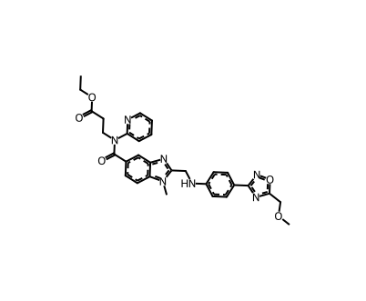 CCOC(=O)CCN(C(=O)c1ccc2c(c1)nc(CNc1ccc(-c3noc(COC)n3)cc1)n2C)c1ccccn1